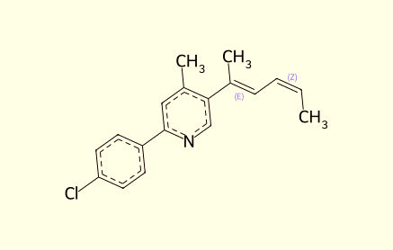 C/C=C\C=C(/C)c1cnc(-c2ccc(Cl)cc2)cc1C